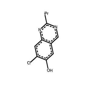 CC(C)c1ncc2cc(O)c(Cl)cc2n1